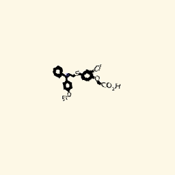 CCOc1ccc(/C(=C\CSc2ccc(OCC(=O)O)c(Cl)c2)c2ccccc2)cc1